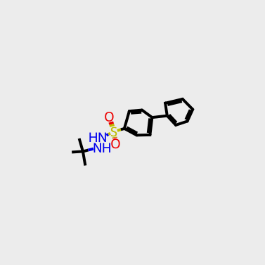 CC(C)(C)NNS(=O)(=O)c1ccc(-c2ccccc2)cc1